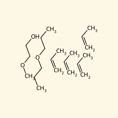 C=CC.C=CC.C=CC.C=CC.CCCOCCC.COCCO